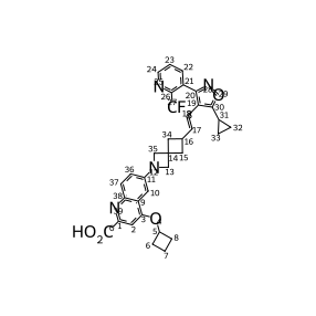 O=C(O)c1cc(OC2CCC2)c2cc(N3CC4(CC(/C=C/c5c(-c6cccnc6C(F)(F)F)noc5C5CC5)C4)C3)ccc2n1